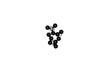 c1ccc(-c2ccc3c(c2)c2ccccc2n3-c2cc(-c3cccc(-c4cc(-c5cccc(-c6nc(-c7ccccc7)nc(-c7ccccc7)n6)c5)cc5c4oc4ccccc45)c3)cc3c2oc2ccccc23)cc1